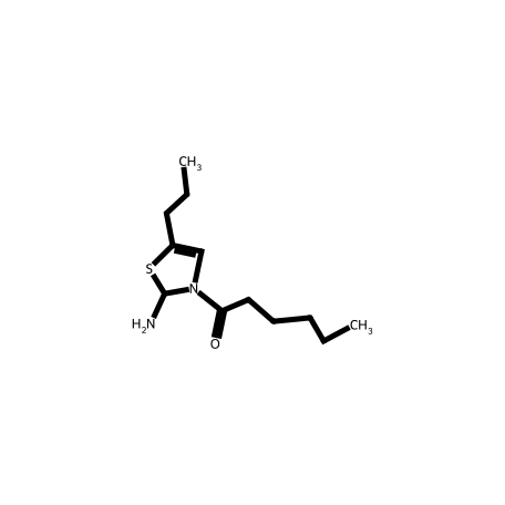 CCCCCC(=O)N1C=C(CCC)SC1N